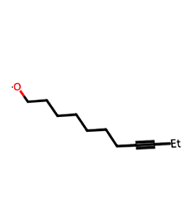 CCC#CCCCCCCC[O]